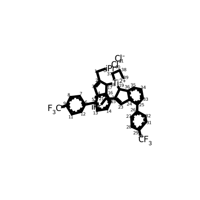 CC(C)CC1=Cc2c(-c3ccc(C(F)(F)F)cc3)cccc2[CH]1[Ti+2]1([CH]2C(CC(C)C)=Cc3c(-c4ccc(C(F)(F)F)cc4)cccc32)[CH2]C[CH2]1.[Cl-].[Cl-]